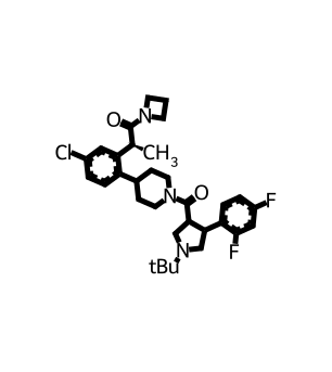 C[C@H](C(=O)N1CCC1)c1cc(Cl)ccc1C1CCN(C(=O)C2CN(C(C)(C)C)CC2c2ccc(F)cc2F)CC1